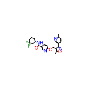 Cc1ccc(-c2noc(C)c2COc2ccc(C(=O)NC3CCCC(F)(F)C3)cn2)cn1